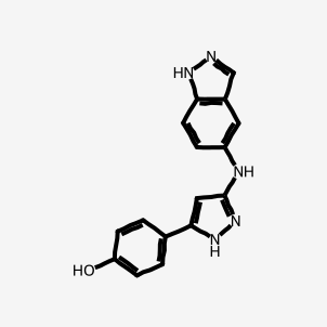 Oc1ccc(-c2cc(Nc3ccc4[nH]ncc4c3)n[nH]2)cc1